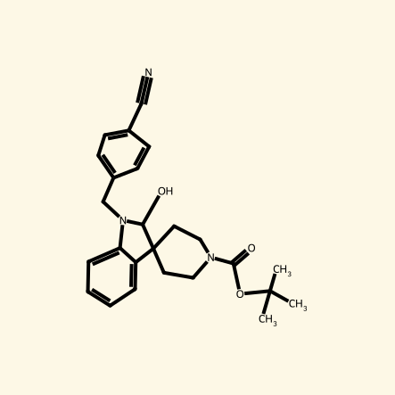 CC(C)(C)OC(=O)N1CCC2(CC1)c1ccccc1N(Cc1ccc(C#N)cc1)C2O